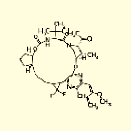 C=C/C(=C\c1nc2c(nc1C)C1C(CCC[C@@H]3CCC[C@H]3OC(=O)N[C@@H](C(C)(C)C)C(=O)N3C[C@H](O2)[C@@H](C)[C@H]3C(C)=O)C1(F)F)OC